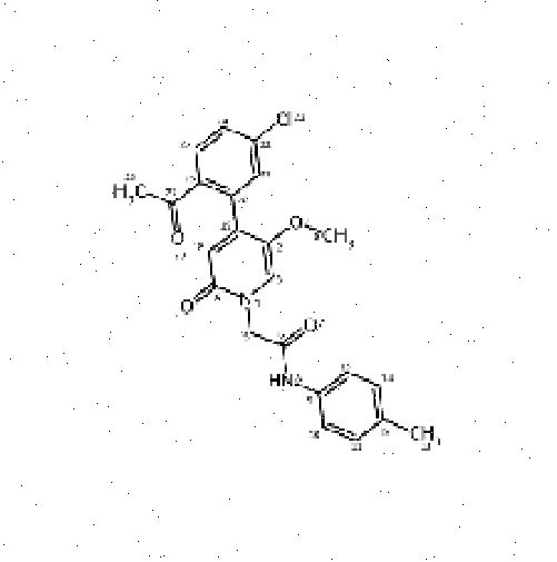 COc1cn(CC(=O)Nc2ccc(C)cc2)c(=O)cc1-c1cc(Cl)ccc1C(C)=O